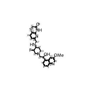 COc1cnc2cccc(C(O)CN3CCC(NCc4ccc5c(n4)NC(=O)CS5)C(F)C3)c2c1